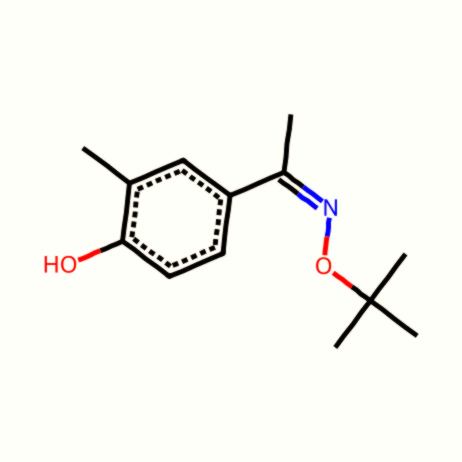 C/C(=N/OC(C)(C)C)c1ccc(O)c(C)c1